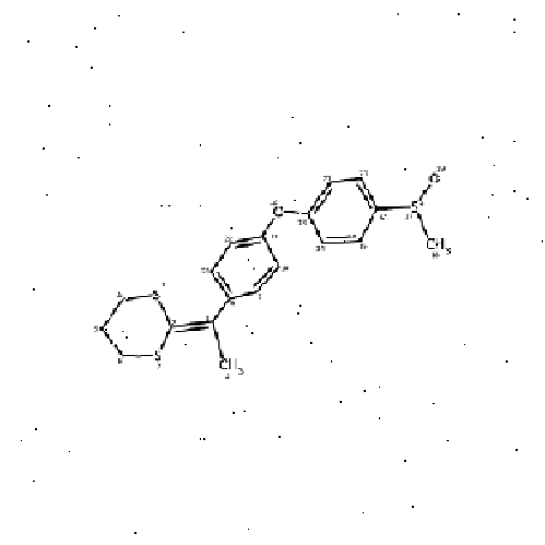 CC(=C1SCCCS1)c1ccc(Oc2ccc([S+](C)[O-])cc2)cc1